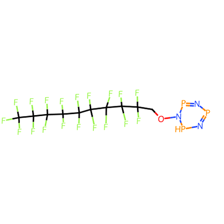 FC(F)(F)C(F)(F)C(F)(F)C(F)(F)C(F)(F)C(F)(F)C(F)(F)C(F)(F)C(F)(F)CON1P=NP=NP1